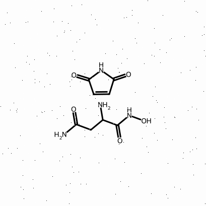 NC(=O)CC(N)C(=O)NO.O=C1C=CC(=O)N1